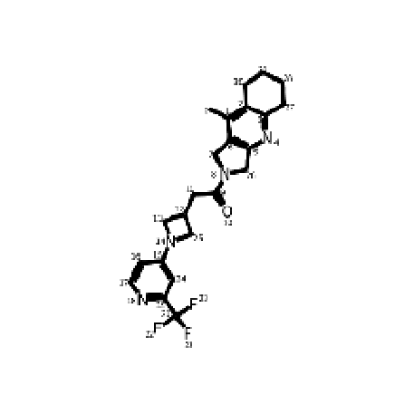 Cc1c2c(nc3c1CN(C(=O)CC1CN(c4ccnc(C(F)(F)F)c4)C1)C3)CCCC2